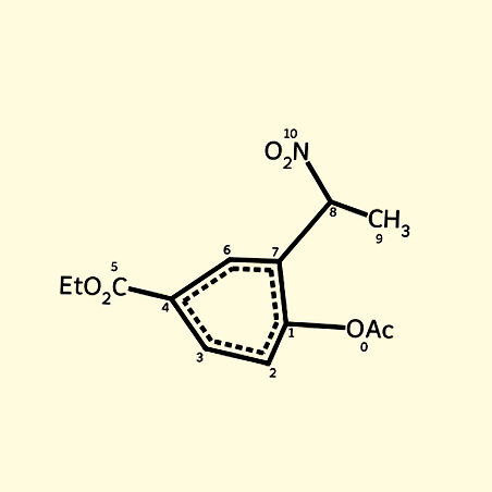 [CH2]C(=O)Oc1ccc(C(=O)OCC)cc1C(C)[N+](=O)[O-]